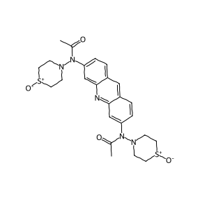 CC(=O)N(c1ccc2cc3ccc(N(C(C)=O)N4CC[S+]([O-])CC4)cc3nc2c1)N1CC[S+]([O-])CC1